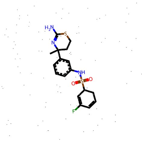 CC1(c2cccc(NS(=O)(=O)C3C=C(F)C=CC3)c2)CCSC(N)=N1